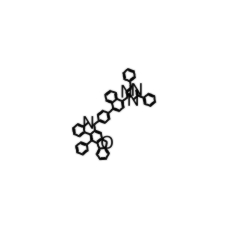 c1ccc(-c2nc(-c3ccccc3)nc(-c3ccc(-c4ccc(-c5nc6ccccc6c6c(-c7ccccc7)c7c(cc56)oc5ccccc57)cc4)c4ccccc34)n2)cc1